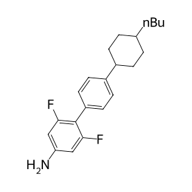 CCCCC1CCC(c2ccc(-c3c(F)cc(N)cc3F)cc2)CC1